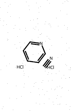 C#N.Cl.Cl.c1ccncc1